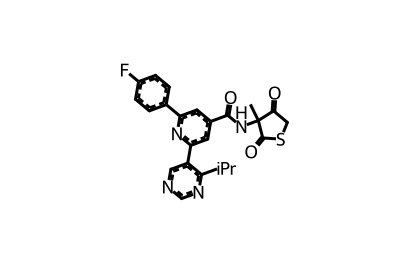 CC(C)c1ncncc1-c1cc(C(=O)NC2(C)C(=O)CSC2=O)cc(-c2ccc(F)cc2)n1